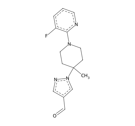 CC1(n2cc(C=O)cn2)CCN(c2ncccc2F)CC1